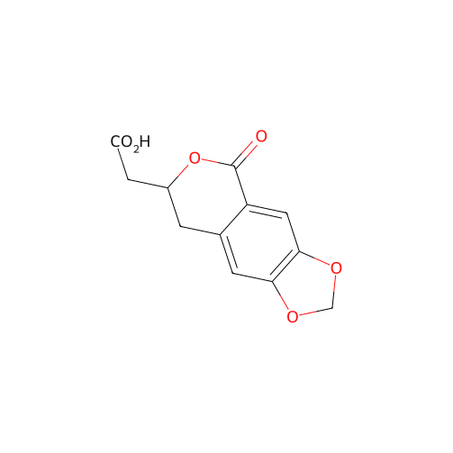 O=C(O)CC1Cc2cc3c(cc2C(=O)O1)OCO3